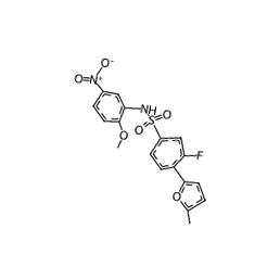 COc1ccc([N+](=O)[O-])cc1NS(=O)(=O)c1ccc(-c2ccc(C)o2)c(F)c1